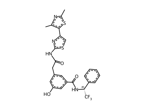 Cc1nc(C)c(-c2csc(NC(=O)Cc3cc(O)cc(C(=O)N[C@H](c4ccccc4)C(F)(F)F)c3)n2)s1